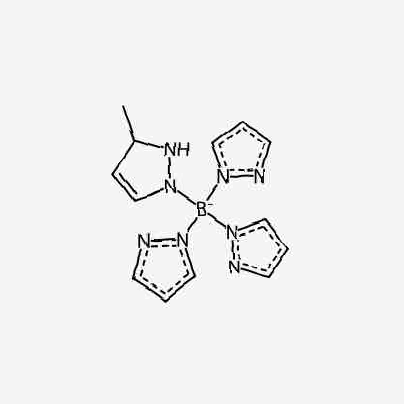 CC1C=CN([B-](n2cccn2)(n2cccn2)n2cccn2)N1